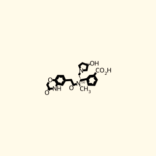 CN(C(=O)Cc1ccc2c(c1)NC(=O)CO2)[C@H](CN1CC[C@H](O)C1)c1cccc(C(=O)O)c1